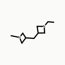 CCN1CC(CC2CN(C)C2)C1